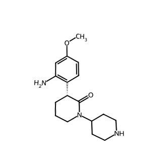 COc1ccc([C@H]2CCCN(C3CCNCC3)C2=O)c(N)c1